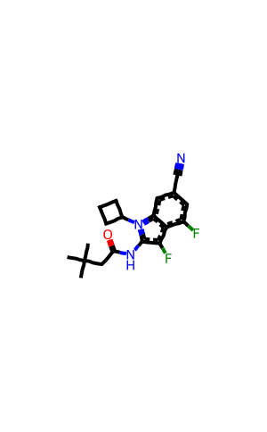 CC(C)(C)CC(=O)Nc1c(F)c2c(F)cc(C#N)cc2n1C1CCC1